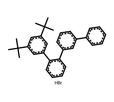 Br.CC(C)(C)c1cc(-c2ccccc2-c2cccc(-c3ccccc3)c2)cc(C(C)(C)C)c1